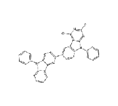 Clc1nc(Cl)c2c3cc(-c4ccc5c(c4)c4ccccc4n5-c4ccccc4)ccc3n(-c3ccccc3)c2n1